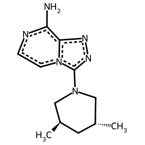 C[C@@H]1C[C@@H](C)CN(c2nnc3c(N)nccn23)C1